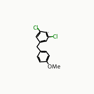 COc1ccc(Cc2cc(Cl)[c]c(Cl)c2)cc1